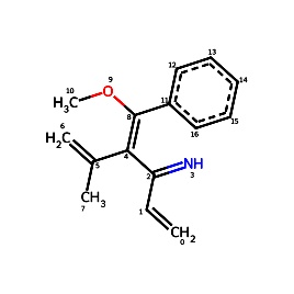 C=CC(=N)/C(C(=C)C)=C(/OC)c1ccccc1